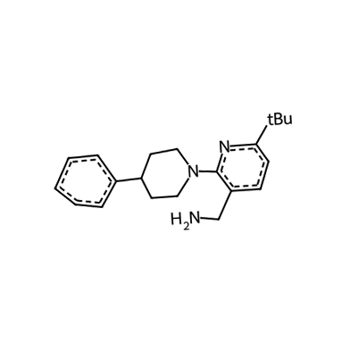 CC(C)(C)c1ccc(CN)c(N2CCC(c3ccccc3)CC2)n1